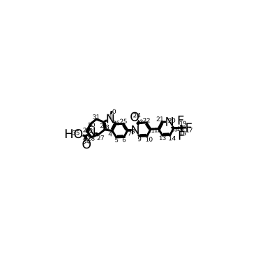 Cn1c2c(c3ccc(-n4ccc(-c5ccc(C(F)(F)F)nc5)cc4=O)cc31)C1CCC(C2)N1C(=O)O